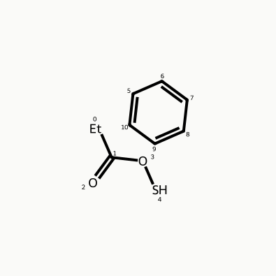 CCC(=O)OS.c1ccccc1